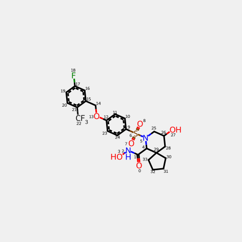 O=C(NO)C1N(S(=O)(=O)c2ccc(OCc3cc(F)ccc3C(F)(F)F)cc2)CC(O)CC12CCCC2